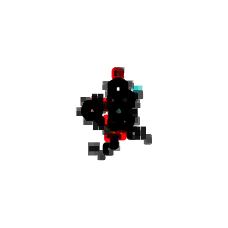 CCC(=O)O[C@]1(C(=S)OCc2ccccc2)[C@H](C)C[C@H]2[C@@H]3C[C@H](F)C4=CC(=O)C=C[C@]4(C)[C@@]3(F)[C@@H](O)C[C@@]21C